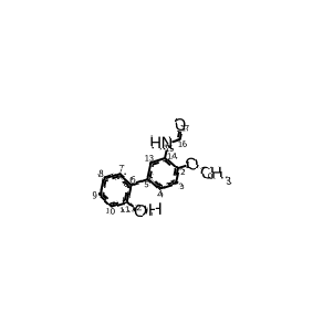 COc1ccc(-c2[c]cccc2O)cc1NC=O